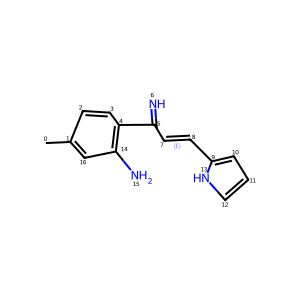 Cc1ccc(C(=N)/C=C/c2ccc[nH]2)c(N)c1